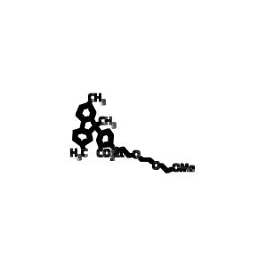 CCOC(=O)c1cc(C2(C)c3cc(C)ccc3-c3ccc(C)cc32)ccc1OCCOCCOCCOC